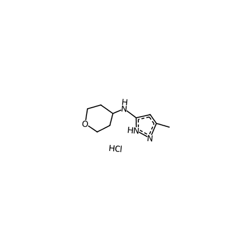 Cc1cc(NC2CCOCC2)[nH]n1.Cl